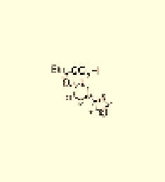 CCC(Oc1ccc(-c2ccoc2)cc1)C(=O)O